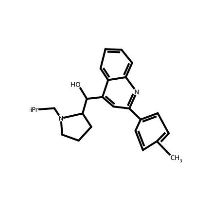 C[C](C)CN1CCCC1C(O)c1cc(-c2ccc(C)cc2)nc2ccccc12